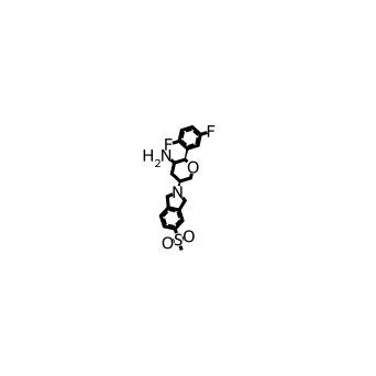 CS(=O)(=O)c1ccc2c(c1)CN([C@@H]1CO[C@H](c3cc(F)ccc3F)C(N)C1)C2